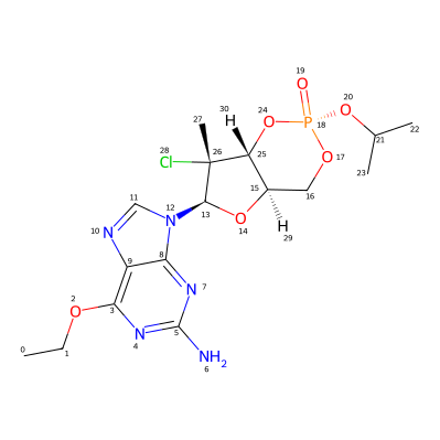 CCOc1nc(N)nc2c1ncn2[C@@H]1O[C@@H]2CO[P@@](=O)(OC(C)C)O[C@H]2[C@@]1(C)Cl